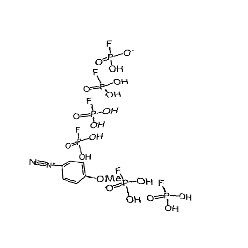 COc1ccc([N+]#N)cc1.O=P(O)(O)F.O=P(O)(O)F.O=P(O)(O)F.O=P(O)(O)F.O=P(O)(O)F.O=P([O-])(O)F